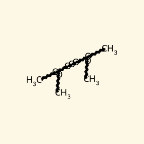 CCCCCCCCOC(CCC=COCOCOC=CCCC(OCCCCCCCC)OCCCCCCCC)OCCCCCCCC